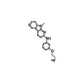 Cn1c2ccncc2c2ccc(Nc3cccc(OCC[18F])c3)nc21